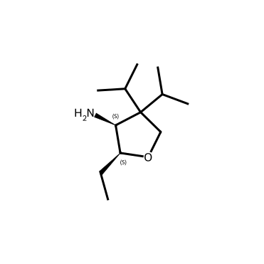 CC[C@@H]1OCC(C(C)C)(C(C)C)[C@@H]1N